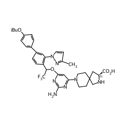 Cc1ccn(-c2cc(-c3ccc(OCC(C)C)cc3)ccc2C(Oc2cc(N3CCC4(CC3)CN[C@H](C(=O)O)C4)nc(N)n2)C(F)(F)F)n1